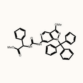 COC(=O)C(NC(=O)Nc1cc2c(cn1)c(OC)nn2C(c1ccccc1)(c1ccccc1)c1ccccc1)c1ccccc1